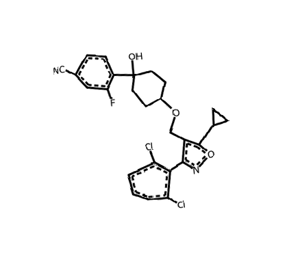 N#Cc1ccc(C2(O)CCC(OCc3c(-c4c(Cl)cccc4Cl)noc3C3CC3)CC2)c(F)c1